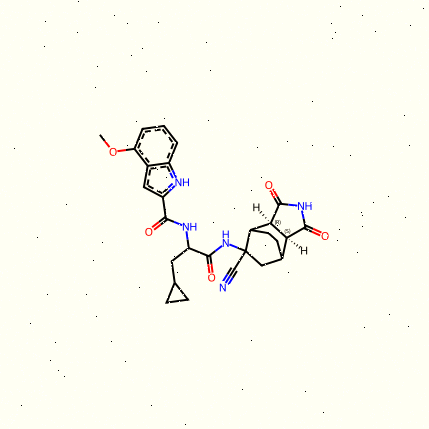 COc1cccc2[nH]c(C(=O)NC(CC3CC3)C(=O)NC3(C#N)CC4CCC3[C@H]3C(=O)NC(=O)[C@@H]43)cc12